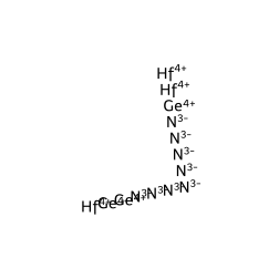 [Ge+4].[Ge+4].[Ge+4].[Hf+4].[Hf+4].[Hf+4].[N-3].[N-3].[N-3].[N-3].[N-3].[N-3].[N-3].[N-3]